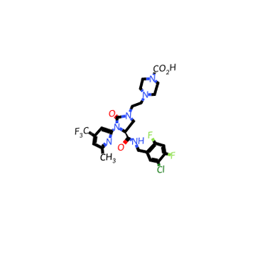 Cc1cc(C(F)(F)F)cc(N2C(=O)N(CCN3CCN(C(=O)O)CC3)C[C@H]2C(=O)NCc2cc(Cl)c(F)cc2F)n1